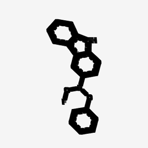 FOB(Oc1ccccc1)c1ccc2[nH]c3ccccc3c2c1